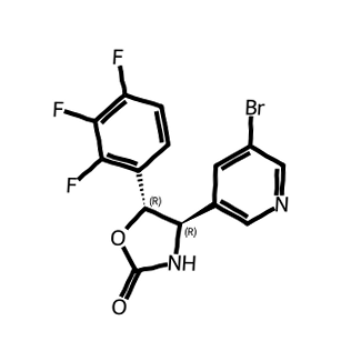 O=C1N[C@H](c2cncc(Br)c2)[C@@H](c2ccc(F)c(F)c2F)O1